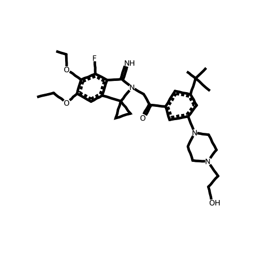 CCOc1cc2c(c(F)c1OCC)C(=N)N(CC(=O)c1cc(N3CCN(CCO)CC3)cc(C(C)(C)C)c1)C21CC1